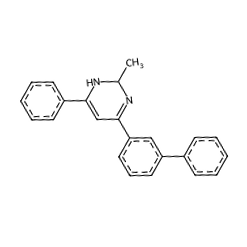 CC1N=C(c2cccc(-c3ccccc3)c2)C=C(c2ccccc2)N1